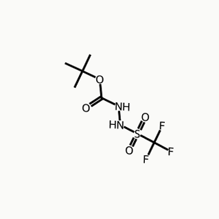 CC(C)(C)OC(=O)NNS(=O)(=O)C(F)(F)F